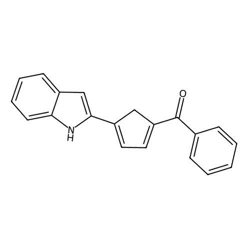 O=C(C1=CC=C(c2cc3ccccc3[nH]2)C1)c1ccccc1